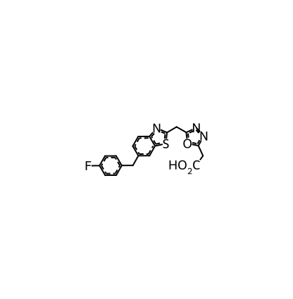 O=C(O)Cc1nnc(Cc2nc3ccc(Cc4ccc(F)cc4)cc3s2)o1